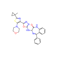 CC1(c2nc(-c3nnc(NC4N=C(c5ccccc5)c5ccccc5NC4=O)o3)c(N3CCOCC3)s2)CC1